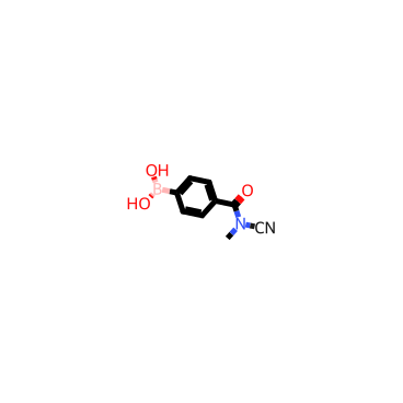 CN(C#N)C(=O)c1ccc(B(O)O)cc1